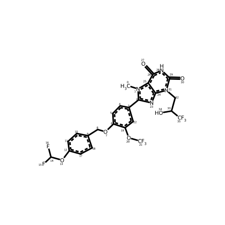 Cn1c(-c2ccc(OCc3ccc(OC(F)F)cc3)c(OC(F)(F)F)c2)nc2c1c(=O)[nH]c(=O)n2CC(O)C(F)(F)F